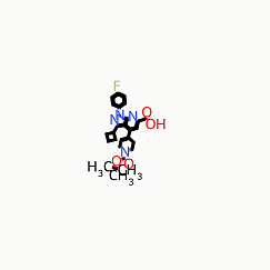 CC(C)(C)OC(=O)N1CC=C(c2cc(C(=O)O)nc3c2c(C2CCC2)nn3-c2ccc(F)cc2)CC1